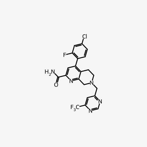 NC(=O)c1cc(-c2ccc(Cl)cc2F)c2c(n1)CN(Cc1cc(C(F)(F)F)ncn1)CC2